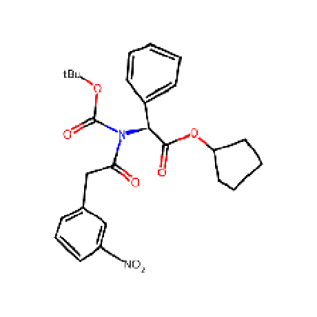 CC(C)(C)OC(=O)N(C(=O)Cc1cccc([N+](=O)[O-])c1)[C@H](C(=O)OC1CCCC1)c1ccccc1